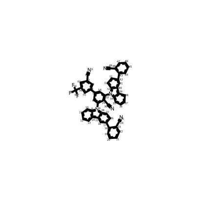 N#Cc1cc(-c2cc(-n3c4ccccc4c4cc(-c5ccccc5C#N)ccc43)c(C#N)c(-n3c4ccccc4c4cc(-c5ccccc5C#N)ccc43)c2)cc(C(F)(F)F)c1